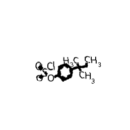 CCC(C)(C)c1ccc(OS(=O)(=O)Cl)cc1